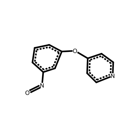 O=Nc1cccc(Oc2ccncc2)c1